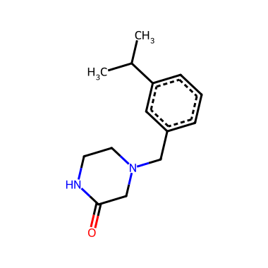 CC(C)c1cccc(CN2CCNC(=O)C2)c1